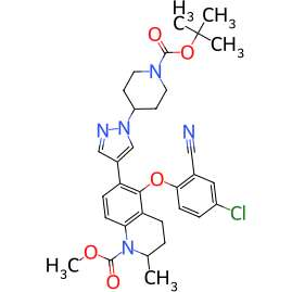 COC(=O)N1c2ccc(-c3cnn(C4CCN(C(=O)OC(C)(C)C)CC4)c3)c(Oc3ccc(Cl)cc3C#N)c2CCC1C